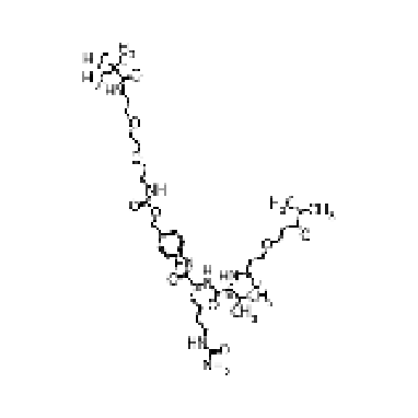 CC(C)C(=O)CCOCCC(=O)N[C@@H](C(=O)N[C@H](CCCCNC(N)=O)C(=O)Nc1ccc(COC(=O)NCCOCCOCCNC(=O)C(C)(C)C)cc1)C(C)C